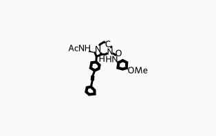 COc1ccc(NC(=O)N2CCCCN3[C@H](CNC(C)=O)C(c4ccc(C#Cc5ccccc5)cc4)[C@@H]3C2)cc1